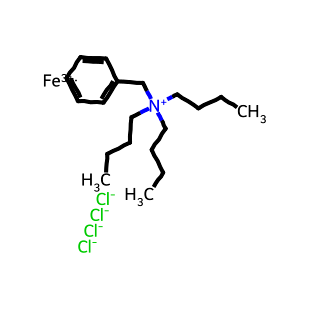 CCCC[N+](CCCC)(CCCC)Cc1ccccc1.[Cl-].[Cl-].[Cl-].[Cl-].[Fe+3]